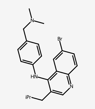 CC(C)Cc1cnc2ccc(Br)cc2c1Nc1ccc(CN(C)C)cc1